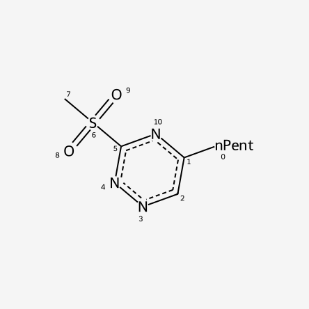 CCCCCc1cnnc(S(C)(=O)=O)n1